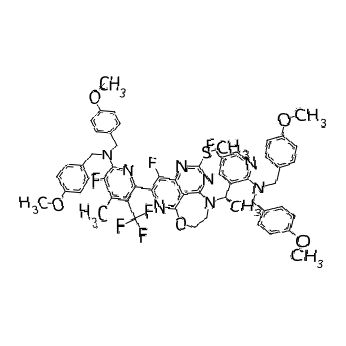 COc1ccc(CN(Cc2ccc(OC)cc2)c2ncc(F)cc2[C@@H](C)N2CCOc3nc(-c4nc(N(Cc5ccc(OC)cc5)Cc5ccc(OC)cc5)c(F)c(C)c4C(F)(F)F)c(F)c4nc(SC)nc2c34)cc1